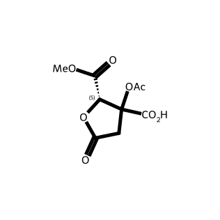 COC(=O)[C@H]1OC(=O)CC1(OC(C)=O)C(=O)O